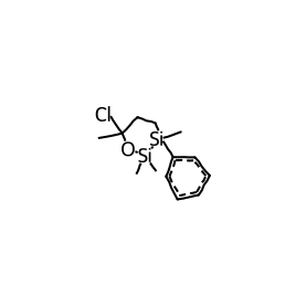 CC1(Cl)CC[Si](C)(c2ccccc2)[Si](C)(C)O1